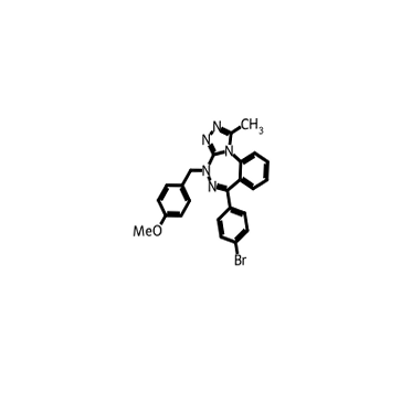 COc1ccc(CN2N=C(c3ccc(Br)cc3)c3ccccc3-n3c(C)nnc32)cc1